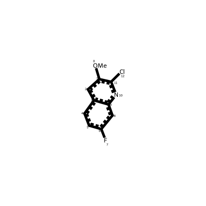 COc1cc2ccc(F)cc2nc1Cl